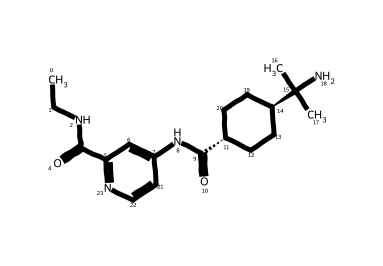 CCNC(=O)c1cc(NC(=O)[C@H]2CC[C@H](C(C)(C)N)CC2)ccn1